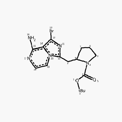 CC(C)(C)OC(=O)N1CCCC1Cc1nc(Br)c2c(N)nccn12